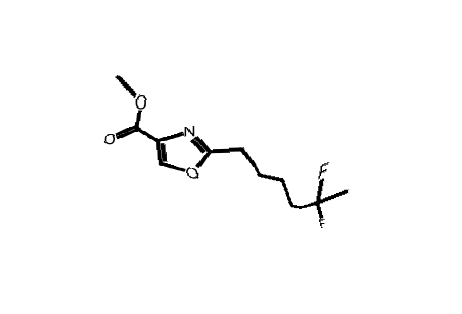 COC(=O)c1coc(CCCCC(C)(F)F)n1